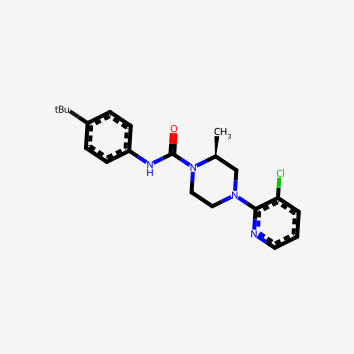 C[C@H]1CN(c2ncccc2Cl)CCN1C(=O)Nc1ccc(C(C)(C)C)cc1